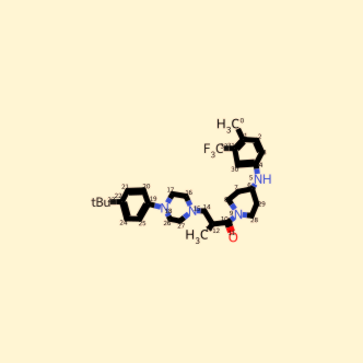 Cc1ccc(NC2CCN(C(=O)C(C)CN3CCN(c4ccc(C(C)(C)C)cc4)CC3)CC2)cc1C(F)(F)F